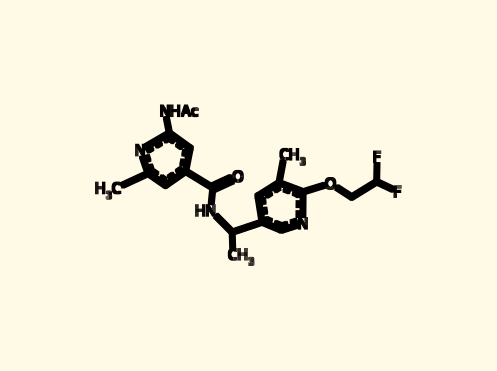 CC(=O)Nc1cc(C(=O)NC(C)c2cnc(OCC(F)F)c(C)c2)cc(C)n1